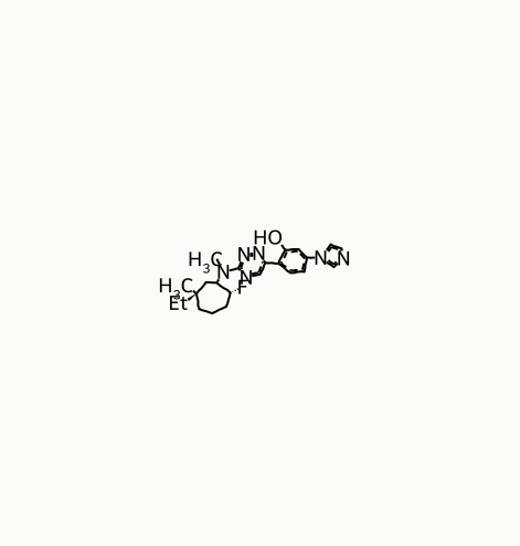 CC[C@]1(C)CCC[C@@H](F)[C@H](N(C)c2ncc(-c3ccc(-n4ccnc4)cc3O)nn2)C1